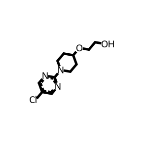 OCCOC1CCN(c2ncc(Cl)cn2)CC1